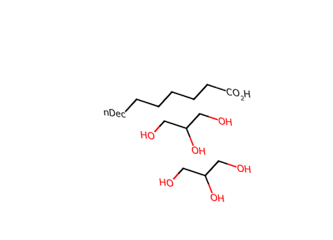 CCCCCCCCCCCCCCCC(=O)O.OCC(O)CO.OCC(O)CO